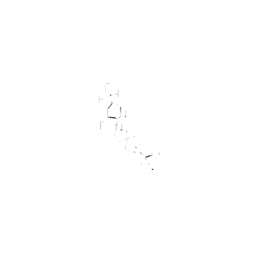 CC(C)(C)OC(=O)N1CCC2(CC1)CCN(c1ncc(C(F)(F)F)cc1F)C2